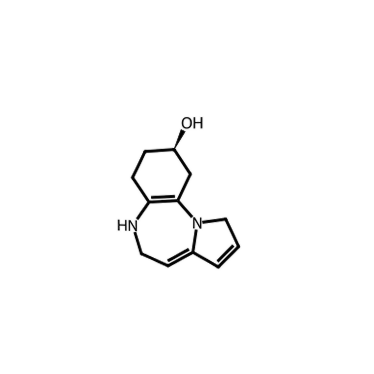 O[C@@H]1CCC2=C(C1)N1CC=CC1=CCN2